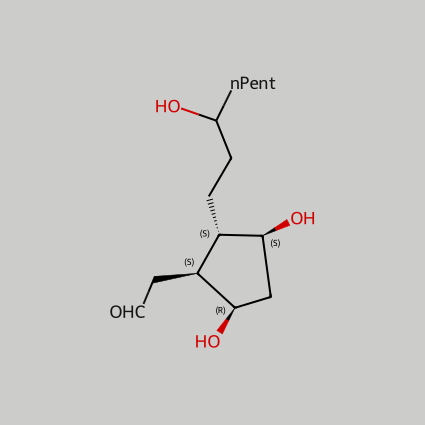 CCCCCC(O)CC[C@H]1[C@H](CC=O)[C@H](O)C[C@@H]1O